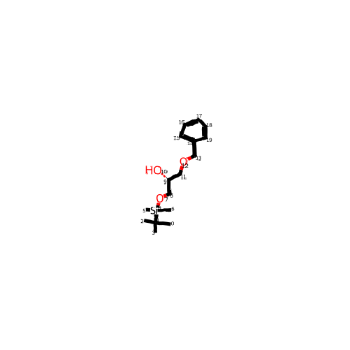 CC(C)(C)[Si](C)(C)OC[C@H](O)COCc1ccccc1